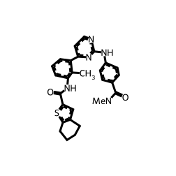 CNC(=O)c1ccc(Nc2nccc(-c3cccc(NC(=O)c4cc5c(s4)CCCC5)c3C)n2)cc1